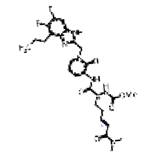 COC(=O)N[C@@H](CC/C=C/C(=O)N(C)C)C(=O)Nc1cccn(Cc2nc3c(CCC(F)(F)F)c(F)c(F)cc3[nH]2)c1=O